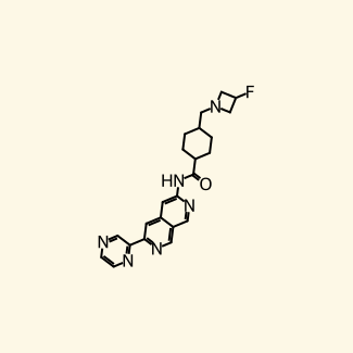 O=C(Nc1cc2cc(-c3cnccn3)ncc2cn1)C1CCC(CN2CC(F)C2)CC1